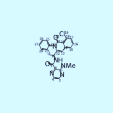 CNc1nccnc1C(=O)NC(C)c1cc2cccc(Cl)c2c(=O)n1-c1ccccc1